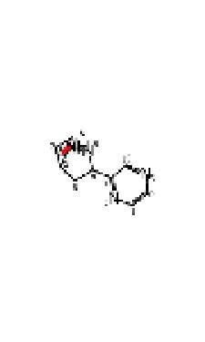 c1cnc(C2CC3CC[N@@]2C32CCNC2)cn1